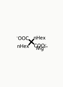 CCCCCCC(CCCCCC)(C(=O)[O-])C(=O)[O-].[Mg+2]